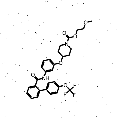 COCCOC(=O)N1CCC(Oc2cccc(NC(=O)c3ccccc3-c3ccc(OC(F)(F)F)cc3)c2)CC1